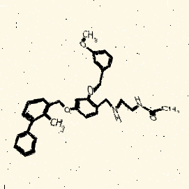 COc1cccc(COc2cc(OCc3cccc(-c4ccccc4)c3C)ccc2CNCCNC(C)=O)c1